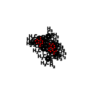 Bc1c(C)cc(C)c(OC(Oc2c(C)cc(C)c(B)c2C)PCc2c(N)c(C)c(C)c(CP(Oc3c(C)cc(C)c(B)c3C)Oc3c(C)cc(C)c(B)c3C)c2-c2c(CP(Oc3c(C)cc(C)c(B)c3C)Oc3c(C)cc(C)c(B)c3C)[c]([K])c(C)c(I)c2CP(Oc2c(C)cc(C)c(B)c2C)Oc2c(C)cc(C)c(B)c2C)c1C